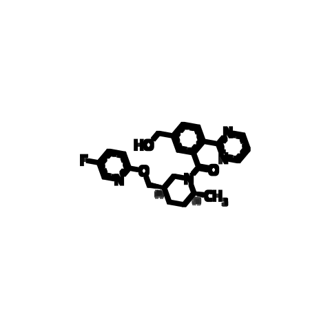 C[C@H]1CC[C@@H](COc2ccc(F)cn2)CN1C(=O)c1cc(CO)ccc1-c1ncccn1